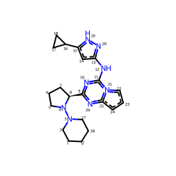 [CH]1CCN(N2CCC[C@H]2c2nc(Nc3cc(C4CC4)[nH]n3)n3cccc3n2)CC1